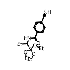 C#Cc1ccc(C(=O)NC(CC)[Si](OCC)(OCC)OCC)cc1